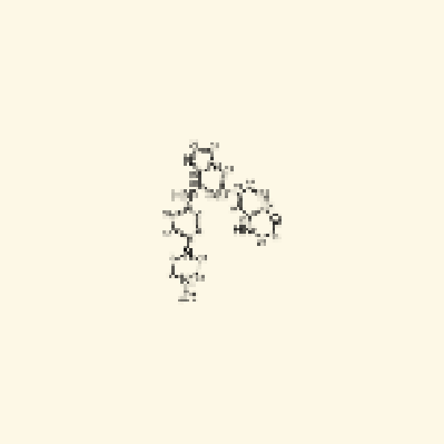 CCN1CCN(c2ccc(Nc3nc(-c4cnc5c(c4)NCCO5)cn4ccnc34)cc2)CC1